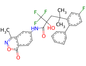 Cc1noc(=O)c2ccc(NC(=O)C(O)(CC(C)(C)c3cc(F)ccc3-c3ccccc3)C(F)(F)F)cc12